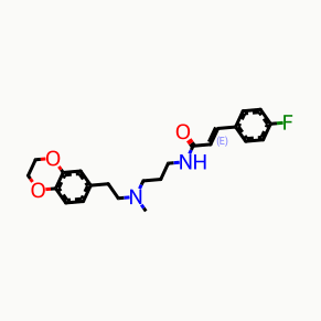 CN(CCCNC(=O)/C=C/c1ccc(F)cc1)CCc1ccc2c(c1)OCCO2